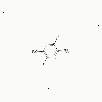 Nc1cc(F)c(C(F)(F)F)cc1F